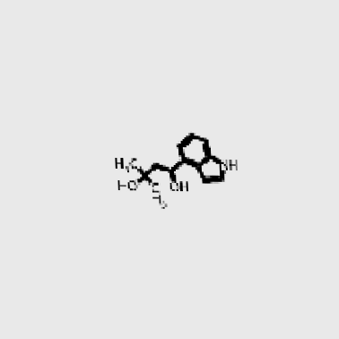 CC(C)(O)CC(O)c1cccc2[nH]ccc12